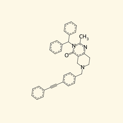 Cc1nc2c(c(=O)n1C(c1ccccc1)c1ccccc1)CN(Cc1ccc(C#Cc3ccccc3)cc1)CC2